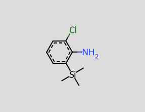 C[Si](C)(C)c1cccc(Cl)c1N